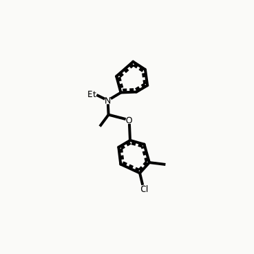 CCN(c1ccccc1)C(C)Oc1ccc(Cl)c(C)c1